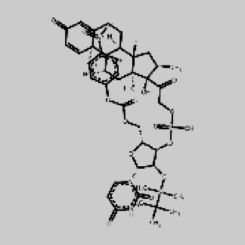 C[C@@H]1C[C@H]2[C@@H]3CCC4=CC(=O)C=C[C@]4(C)[C@@]3(F)[C@@H](O)C[C@]2(C)[C@@]1(O)C(=O)COP(=O)(O)O[C@H]1[C@@H](O[Si](C)(C)C(C)(C)C)[C@H](n2ccc(=O)[nH]c2=O)O[C@@H]1COC(=O)Oc1ccc([N+](=O)[O-])cc1